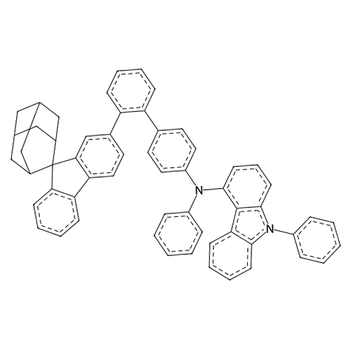 c1ccc(N(c2ccc(-c3ccccc3-c3ccc4c(c3)C3(c5ccccc5-4)C4CC5CC(C4)CC3C5)cc2)c2cccc3c2c2ccccc2n3-c2ccccc2)cc1